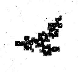 C=CC(=O)Nc1cncc(-c2cnc3c(c2)c(-c2ccnc(C#N)c2)cn3COC(=O)C(N)C(C)CC)c1